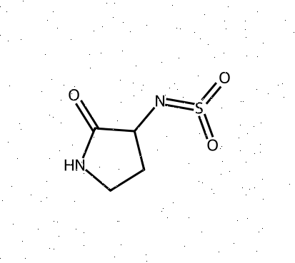 O=C1NCCC1N=S(=O)=O